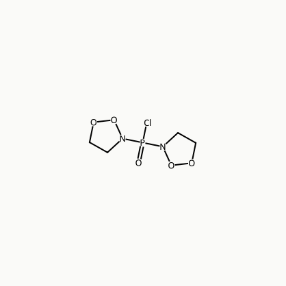 O=P(Cl)(N1CCOO1)N1CCOO1